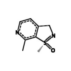 Cc1nccc2c1[S@](C)(=O)=NC2